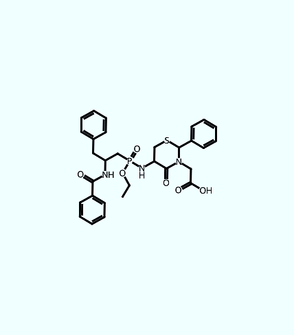 CCOP(=O)(CC(Cc1ccccc1)NC(=O)c1ccccc1)NC1CSC(c2ccccc2)N(CC(=O)O)C1=O